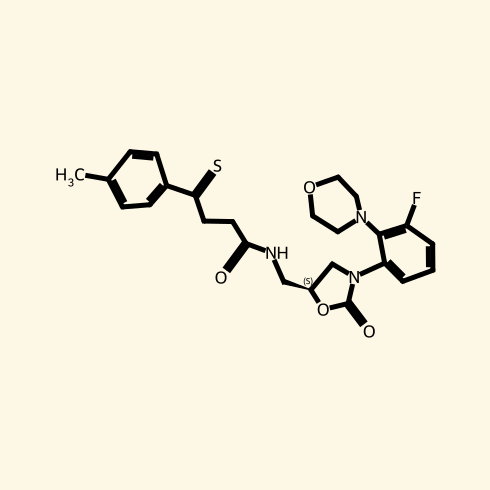 Cc1ccc(C(=S)CCC(=O)NC[C@H]2CN(c3cccc(F)c3N3CCOCC3)C(=O)O2)cc1